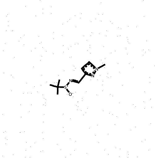 Cn1ccc(C=N[S+]([O-])C(C)(C)C)n1